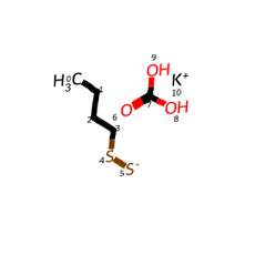 CCCCS[S-].O=C(O)O.[K+]